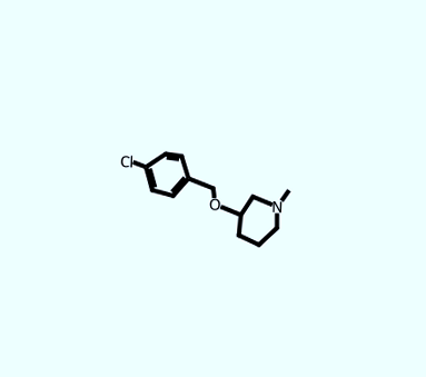 CN1CCCC(OCc2ccc(Cl)cc2)C1